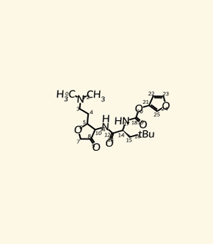 CN(C)CCC1OCC(=O)C1NC(=O)[C@H](CC(C)(C)C)NC(=O)Oc1ccoc1